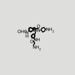 NCCC(=O)Nc1cccc(Cn2c(C(=O)N[C@H]3CC[C@H](N)CC3)cc3ccc(NC=O)cc32)c1